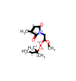 CCC(C)(C)OOC(CN1C(=O)C=C(C)C1=O)OC